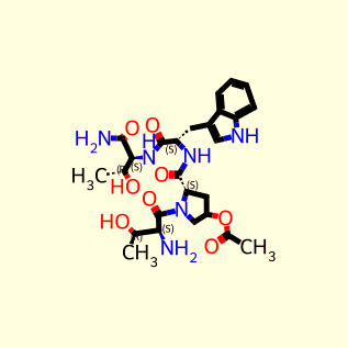 CC(=O)OC1C[C@@H](C(=O)N[C@@H](Cc2c[nH]c3ccccc23)C(=O)N[C@H](C(N)=O)[C@@H](C)O)N(C(=O)[C@@H](N)[C@@H](C)O)C1